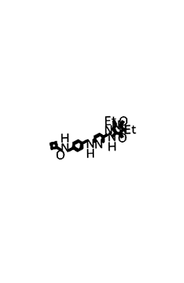 CCn1c(=O)c2[nH]c(-c3ccc(NCc4ccc(CNC(=O)C5CCC5)cc4)nc3)nc2n(CC)c1=O